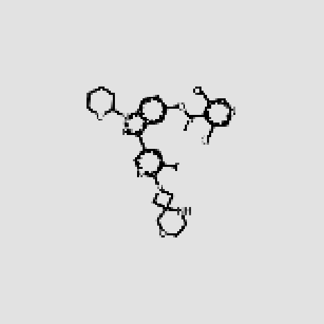 C[C@@H](Oc1ccc2c(c1)c(-c1cnc(N3CC4(COCCN4)C3)c(F)c1)nn2C1CCCCO1)c1c(Cl)cncc1Cl